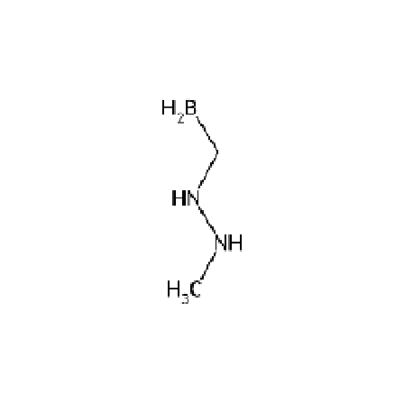 BCNNC